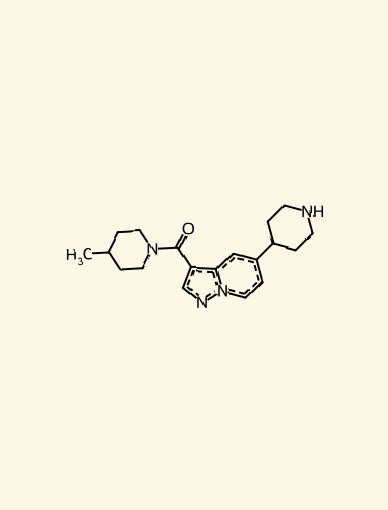 CC1CCN(C(=O)c2cnn3ccc(C4CCNCC4)cc23)CC1